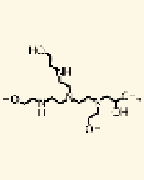 CC(O)CN(CCO)CCN(CCNCCO)CCNCCO